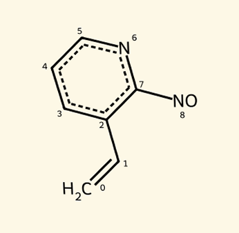 C=Cc1cccnc1N=O